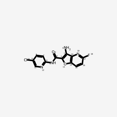 Nc1c(C(=O)Nc2ccc(Cl)cn2)oc2ccc(F)nc12